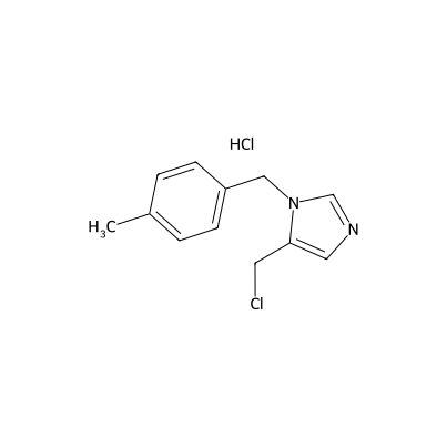 Cc1ccc(Cn2cncc2CCl)cc1.Cl